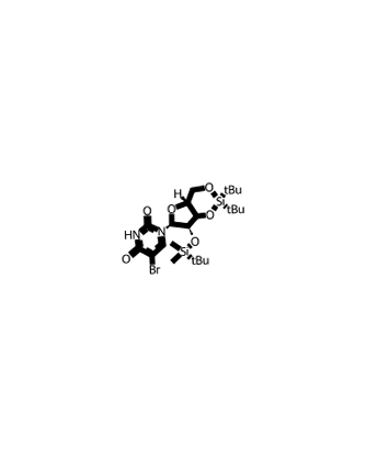 CC(C)(C)[Si](C)(C)O[C@H]1C2O[Si](C(C)(C)C)(C(C)(C)C)OC[C@H]2O[C@H]1n1cc(Br)c(=O)[nH]c1=O